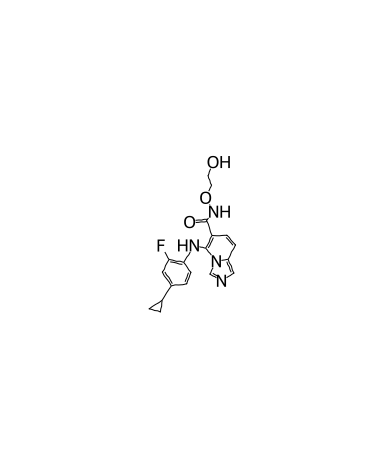 O=C(NOCCO)c1ccc2cncn2c1Nc1ccc(C2CC2)cc1F